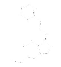 CCCCCCCCCCCCCn1cc[n+](CCCc2ccccc2)c1CCCCCCCCCCC